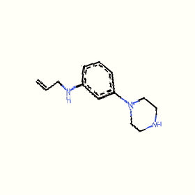 C=CCNc1[c]ccc(N2CCNCC2)c1